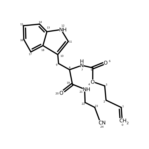 C=CCCOC(=O)NC(Cc1c[nH]c2ccccc12)C(=O)NCCC#N